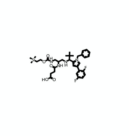 CC(C)(C)C(NCC(CNC(=O)OCC[Si](C)(C)C)NC(=O)CCC(=O)O)c1cc(-c2cc(F)ccc2F)cn1Cc1ccccc1